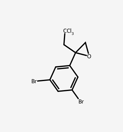 ClC(Cl)(Cl)CC1(c2cc(Br)cc(Br)c2)CO1